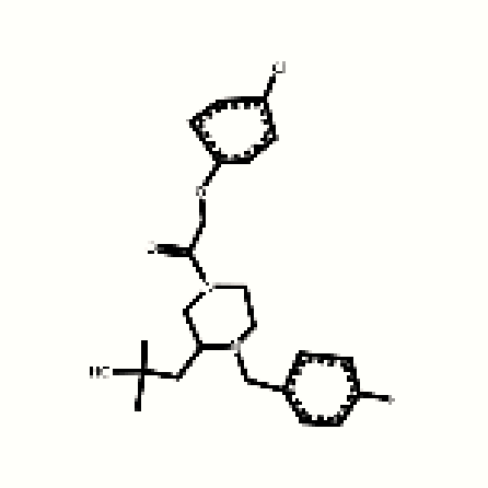 CC(C)(O)CC1CN(C(=O)COc2ccc(Cl)cc2)CCN1Cc1ccc(F)cc1